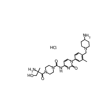 Cc1cc(-n2ccc(NC(=O)N3CCN(C(=O)C(C)(N)CO)CC3)nc2=O)ccc1CN1CCC(N)CC1.Cl